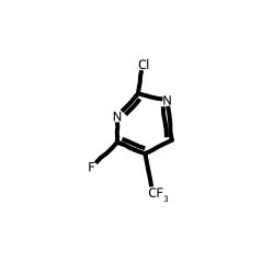 Fc1nc(Cl)ncc1C(F)(F)F